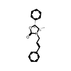 C[C@H]1[C@@H](c2ccccc2)OC(=O)N1CC=Cc1ccccc1